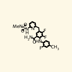 CNS(=O)(=O)Nc1cccc(Cc2cc(C(N)=O)c(Nc3ccc(C)cc3F)c(F)c2F)n1